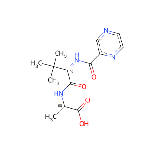 C[C@H](NC(=O)[C@@H](NC(=O)c1cnccn1)C(C)(C)C)C(=O)O